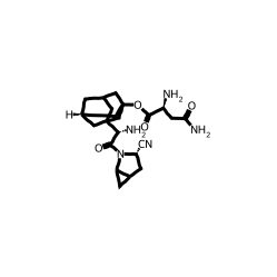 N#C[C@@H]1CC2CC2N1C(=O)[C@@H](N)C12CC3C[C@H](CC(OC(=O)[C@@H](N)CC(N)=O)(C3)C1)C2